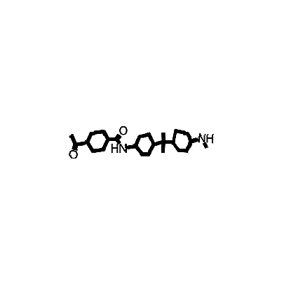 CNC1CCC(C(C)(C)C2CCC(NC(=O)C3CCC(C(C)=O)CC3)CC2)CC1